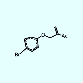 C=C(COc1ccc(Br)cc1)C(C)=O